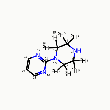 [2H]C1([2H])NC([2H])([2H])C([2H])([2H])N(c2ncccn2)C1([2H])[2H]